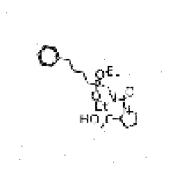 CCOP(=O)(CCCCc1ccccc1)CN(CC)C(=O)N1CCC[C@H]1C(=O)O